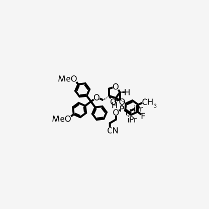 COc1ccc(C(OC[C@@]23CO[C@H]([C@H](c4ccc(F)c(C)c4)O2)[C@@H]3OP(OCCC#N)N(C(C)C)C(C)C)(c2ccccc2)c2ccc(OC)cc2)cc1